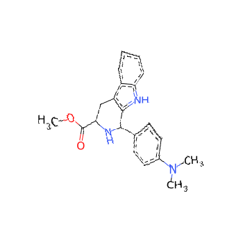 COC(=O)C1Cc2c([nH]c3ccccc23)C(c2ccc(N(C)C)cc2)N1